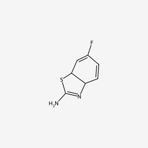 NC1=NC2C=CC(F)=CC2S1